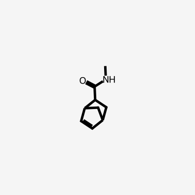 CNC(=O)C1CC2C=CC1C2